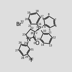 O=C1[C@H]([P+](c2ccccc2)(c2ccccc2)c2ccccc2)CCN1c1cccc(F)c1.[Br-]